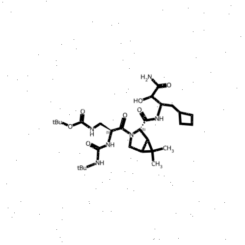 CC(C)(C)NC(=O)N[C@@H](CNC(=O)OC(C)(C)C)C(=O)N1CC2C([C@H]1C(=O)NC(CC1CCC1)C(O)C(N)=O)C2(C)C